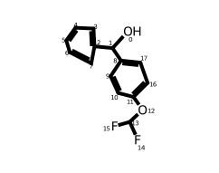 OC(c1ccccc1)c1ccc(OC(F)F)cc1